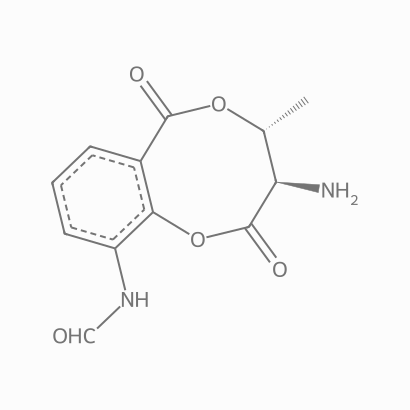 C[C@H]1OC(=O)c2cccc(NC=O)c2OC(=O)[C@@H]1N